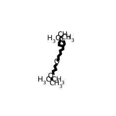 CC(C)(C)OCCCCCOCCCCCC1CCN(C(C)(C)C)CC1